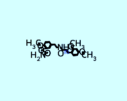 COc1ccc(/C=C/C(=O)NCCc2ccc(OC)c(S(N)(=O)=O)c2)c(OC)c1